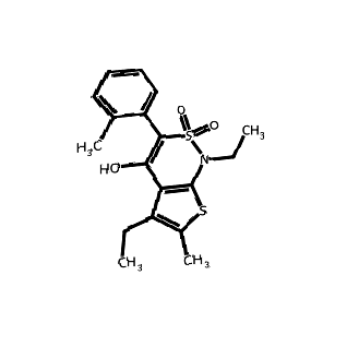 CCc1c(C)sc2c1C(O)=C(c1ccccc1C)S(=O)(=O)N2CC